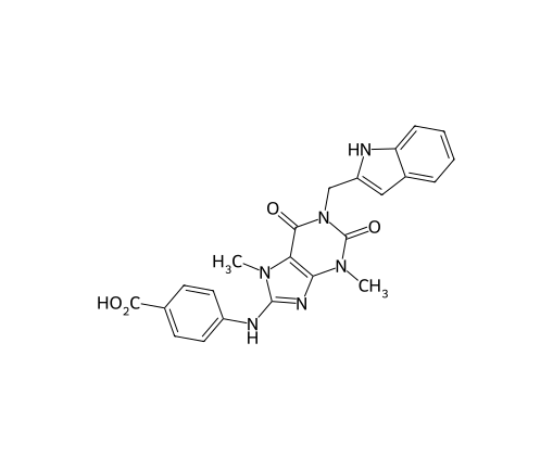 Cn1c(Nc2ccc(C(=O)O)cc2)nc2c1c(=O)n(Cc1cc3ccccc3[nH]1)c(=O)n2C